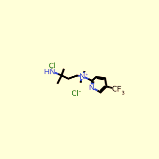 CC(C)(CC[N+](C)(C)c1ccc(C(F)(F)F)cn1)NCl.[Cl-]